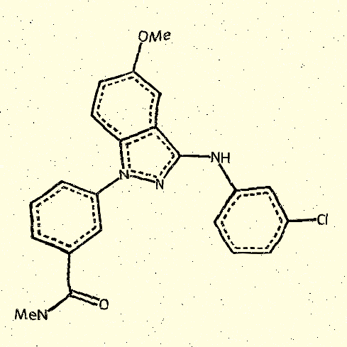 CNC(=O)c1cccc(-n2nc(Nc3cccc(Cl)c3)c3cc(OC)ccc32)c1